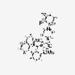 COc1ccccc1C(c1cccc2ccccc12)[C@@](C)(C#N)C(=O)N1CCN(c2cccc(F)c2F)CC1